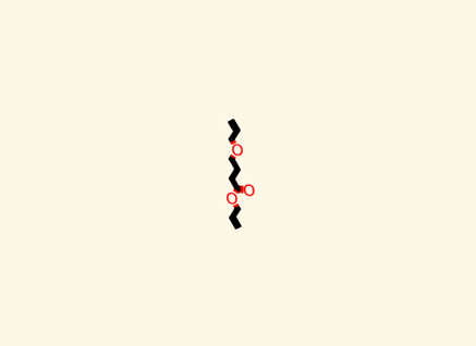 C=CCOCCCC(=O)OCC=C